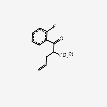 C=CCC(C(=O)OCC)C(=O)c1ccccc1F